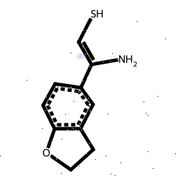 N/C(=C\S)c1ccc2c(c1)CCO2